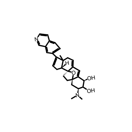 CN(C)[C@H]1C[C@@]23CC[C@@]4(O2)C(=CCC2(C)C(c5ccc6ccncc6c5)=CC[C@H]24)C=C3[C@@H](O)C1O